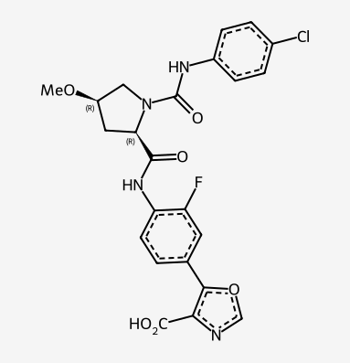 CO[C@@H]1C[C@H](C(=O)Nc2ccc(-c3ocnc3C(=O)O)cc2F)N(C(=O)Nc2ccc(Cl)cc2)C1